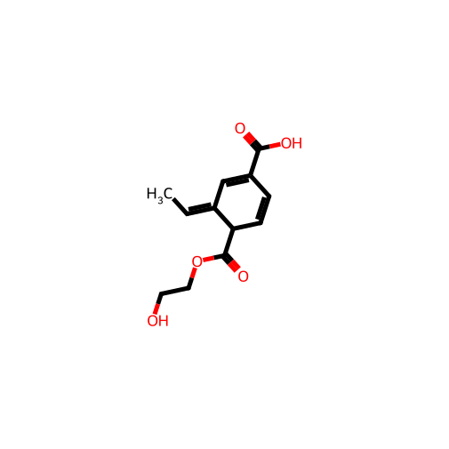 CC=C1C=C(C(=O)O)C=CC1C(=O)OCCO